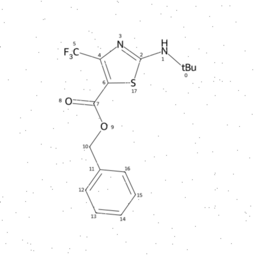 CC(C)(C)Nc1nc(C(F)(F)F)c(C(=O)OCc2ccccc2)s1